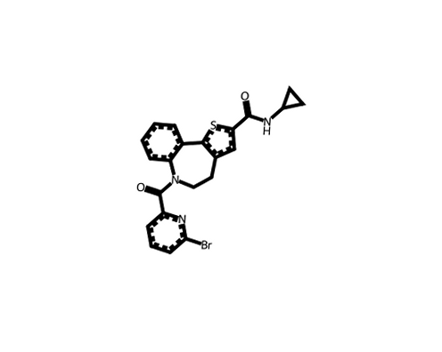 O=C(NC1CC1)c1cc2c(s1)-c1ccccc1N(C(=O)c1cccc(Br)n1)CC2